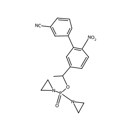 CC(OP(=O)(N1CC1)N1CC1)c1ccc([N+](=O)[O-])c(-c2cccc(C#N)c2)c1